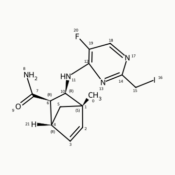 C[C@@]12C=C[C@@H](C1)[C@@H](C(N)=O)[C@H]2Nc1nc(CI)ncc1F